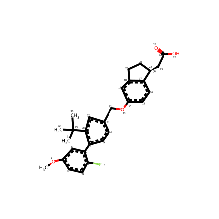 COc1ccc(F)c(-c2ccc(COc3ccc4c(c3)CC[C@H]4CC(=O)O)cc2C(C)(C)C)c1